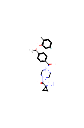 Cc1ccc(F)cc1OC(N=O)c1ccc(C(=O)N2C[C@@H](C)N(C(=O)C3(N)CC3)[C@@H](C)C2)cc1